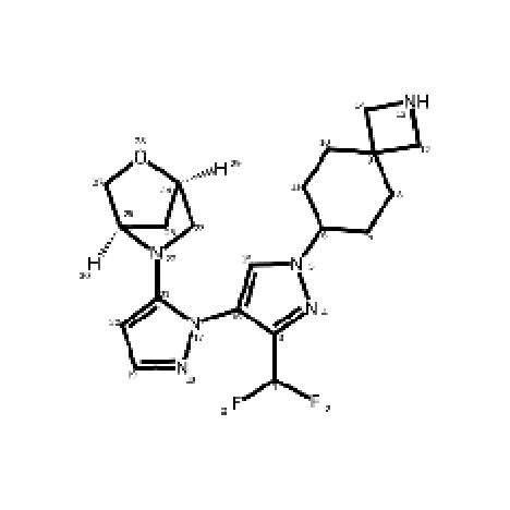 FC(F)c1nn(C2CCC3(CC2)CNC3)cc1-n1nccc1N1C[C@H]2C[C@@H]1CO2